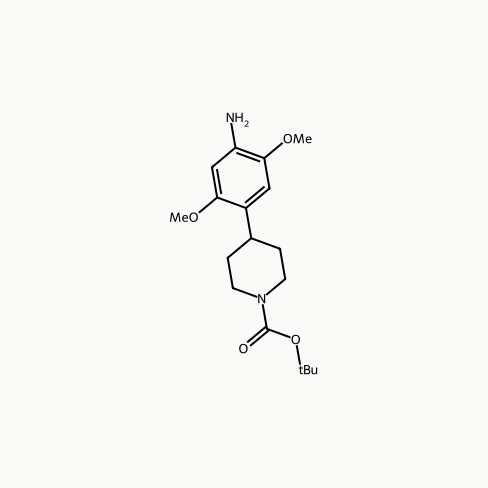 COc1cc(C2CCN(C(=O)OC(C)(C)C)CC2)c(OC)cc1N